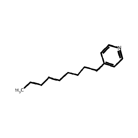 CCCCCCCC[CH]c1ccncc1